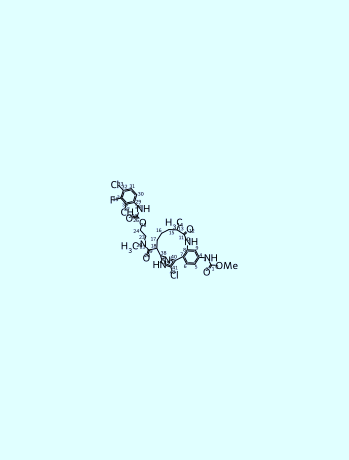 COC(=O)Nc1ccc2c(c1)NC(=O)C(C)CCCC(C(=O)N(C)CCOC(=O)Nc1ccc(Cl)c(F)c1C)c1nc-2c(Cl)[nH]1